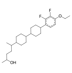 CCOc1ccc(C2CCC(C3CCC(C(C)CCC(C)O)CC3)CC2)c(F)c1F